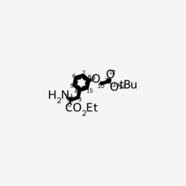 CCOC(=O)[C@@H](N)Cc1cccc(OCC(=O)OC(C)(C)C)c1